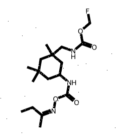 CCC(C)=NOC(=O)NC1CC(C)(C)CC(C)(CNC(=O)OCF)C1